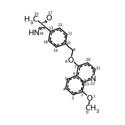 COc1cccc2c(OCc3ccc(S(C)(=N)=O)cc3)ccnc12